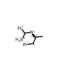 CCC([SiH3])/N=C(/C)CC(C)C